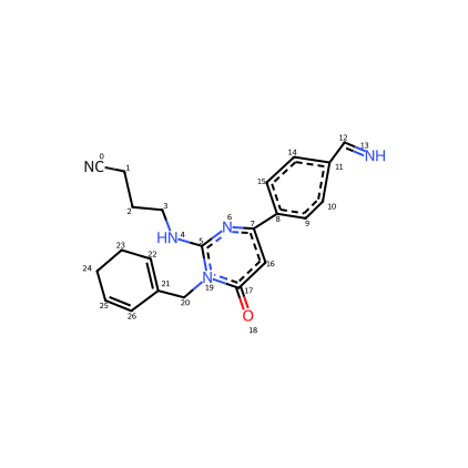 N#CCCCNc1nc(-c2ccc(C=N)cc2)cc(=O)n1CC1=CCCC=C1